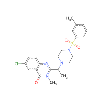 Cc1cccc(S(=O)(=O)N2CCN(C(C)c3nc4ccc(Cl)cc4c(=O)n3C)CC2)c1